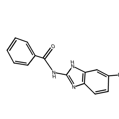 O=C(Nc1nc2ccc(Br)cc2[nH]1)c1ccccc1